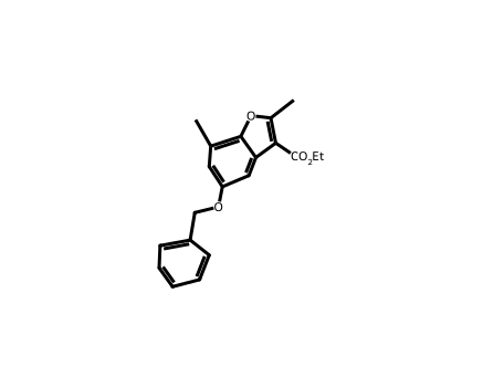 CCOC(=O)c1c(C)oc2c(C)cc(OCc3ccccc3)cc12